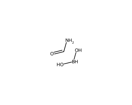 NC=O.OBO